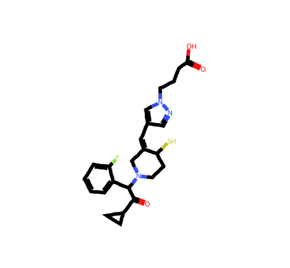 O=C(O)CCCn1cc(/C=C2/CN(C(C(=O)C3CC3)c3ccccc3F)CCC2S)cn1